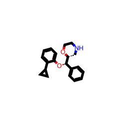 c1ccc([C@H](Oc2ccccc2C2CC2)[C@H]2CNCCO2)cc1